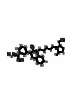 CC1CCC(CO)N1CCCCCn1c(=O)c(-c2cccc(C(=N)N)c2)cc2ccccc21